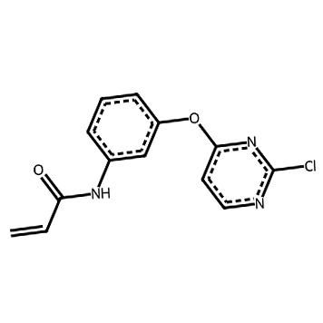 C=CC(=O)Nc1cccc(Oc2ccnc(Cl)n2)c1